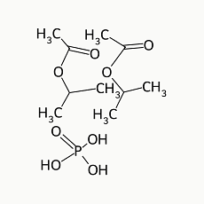 CC(=O)OC(C)C.CC(=O)OC(C)C.O=P(O)(O)O